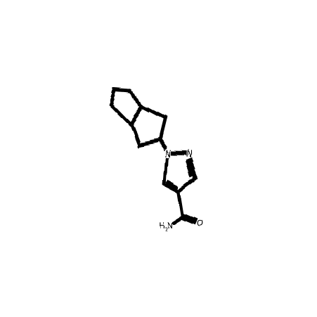 NC(=O)c1cnn(C2CC3CCCC3C2)c1